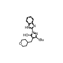 CC(C)(C)c1nn(-c2nc3ccccc3[nH]2)c(O)c1CC1CCOCC1